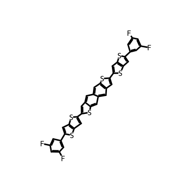 Fc1cc(F)cc(-c2cc3sc(-c4cc5cc6cc7sc(-c8cc9sc(-c%10cc(F)cc(F)c%10)cc9s8)cc7cc6cc5s4)cc3s2)c1